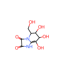 O=C1NC2=C(O)C(O)C(O)C(CO)N2C1=O